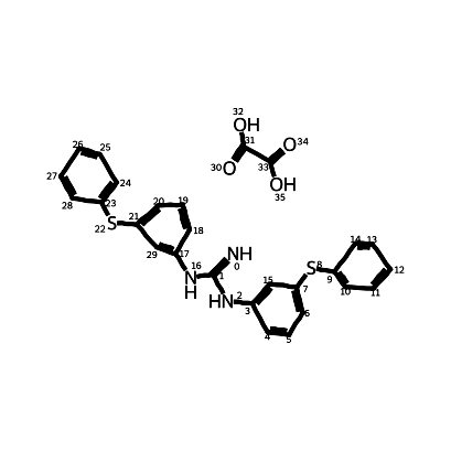 N=C(Nc1cccc(Sc2ccccc2)c1)Nc1cccc(Sc2ccccc2)c1.O=C(O)C(=O)O